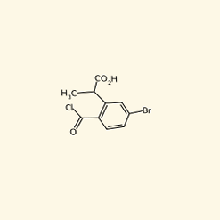 CC(C(=O)O)c1cc(Br)ccc1C(=O)Cl